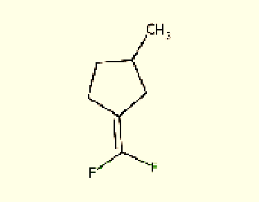 CC1CCC(=C(F)F)C1